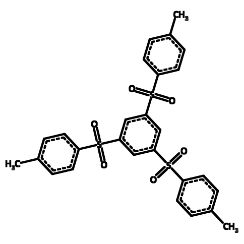 Cc1ccc(S(=O)(=O)c2cc(S(=O)(=O)c3ccc(C)cc3)cc(S(=O)(=O)c3ccc(C)cc3)c2)cc1